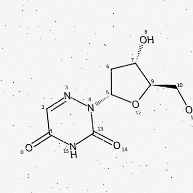 O=c1cnn([C@@H]2C[C@H](O)[C@@H](CO)O2)c(=O)[nH]1